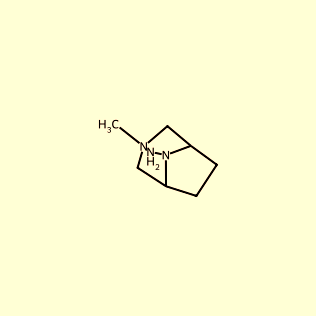 CN1CC2CCC(C1)N2N